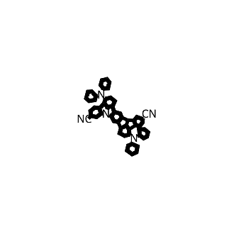 N#Cc1ccc2c(c1)C1c3cc4c5ccc(N(c6ccccc6)c6ccccc6)c6c7ccc(C#N)cc7n(c4cc3-c3ccc(N(c4ccccc4)c4ccccc4)c-2c31)c56